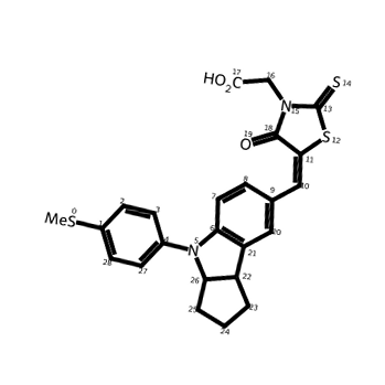 CSc1ccc(N2c3ccc(/C=C4/SC(=S)N(CC(=O)O)C4=O)cc3C3CCCC32)cc1